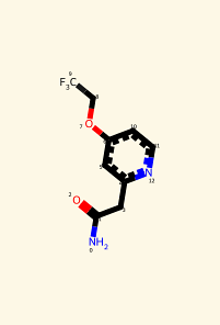 NC(=O)Cc1cc(OCC(F)(F)F)ccn1